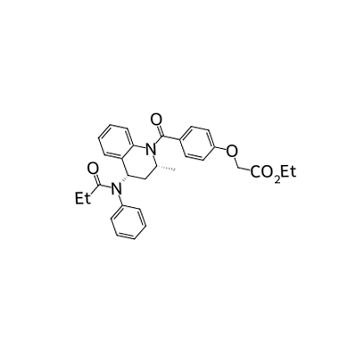 CCOC(=O)COc1ccc(C(=O)N2c3ccccc3[C@@H](N(C(=O)CC)c3ccccc3)C[C@H]2C)cc1